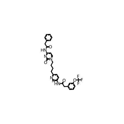 O=C(Cc1cccc(OC(F)(F)F)c1)Nc1ccc(CCCCn2ccc(NC(=O)Cc3ccccc3)nc2=O)nn1